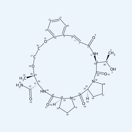 C[C@@H](O)[C@@H]1NC(=O)/C=C/c2ccccc2OCCO[C@H](C)[C@@H](C(N)=O)NC(=O)[C@@H]2CCCN2C(=O)[C@@H]2CCCN2C1=O